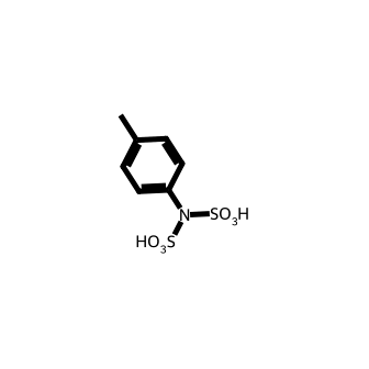 Cc1ccc(N(S(=O)(=O)O)S(=O)(=O)O)cc1